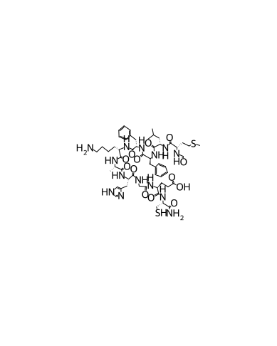 CSCC[C@H](NC=O)C(=O)N[C@@H](CC(C)C)C(=O)N[C@@H](Cc1ccccc1)C(=O)N[C@@H](Cc1ccccc1)C(=O)N[C@@H](CCCCN)C(=O)N[C@@H](C)C(=O)N[C@@H](Cc1c[nH]cn1)C(=O)NCC(=O)N[C@@H](CCC(=O)O)C(=O)N[C@@H](CS)C(N)=O